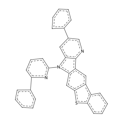 c1ccc(-c2cnc3c4cc5c(cc4n(-c4cccc(-c6ccccc6)n4)c3c2)sc2ccccc25)cc1